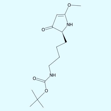 COC1=CC(=O)[C@H](CCCCNC(=O)OC(C)(C)C)N1